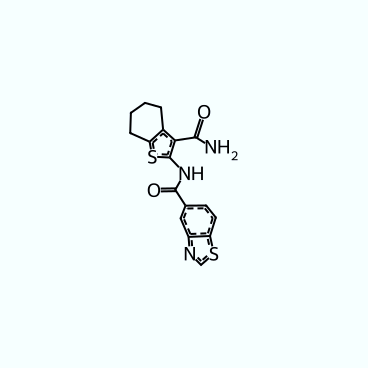 NC(=O)c1c(NC(=O)c2ccc3scnc3c2)sc2c1CCCC2